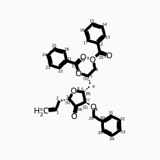 C=CC[C@@H]1O[C@H](C[C@@H](COC(=O)c2ccccc2)OC(=O)c2ccccc2)[C@H](OCc2ccccc2)C1=O